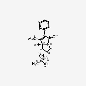 COC1=C(c2ccccc2)C(=O)N2C[C@H](O[Si](C)(C)C(C)(C)C)C[C@H]12